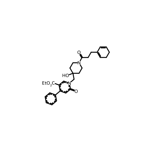 CCOC(=O)c1cn(CC2(O)CCN(C(=O)CCC3=CCCC=C3)CC2)c(=O)cc1-c1ccccc1